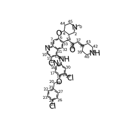 CN1CCC(Oc2cc3ncc(C#N)c(Nc4ccc(OCc5ccc(Cl)cc5)c(Cl)c4)c3cc2CC(=O)C=C2CCNCC2)CC1